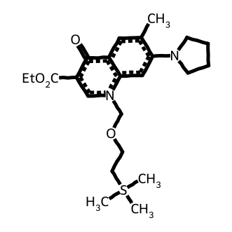 CCOC(=O)c1cn(COCCS(C)(C)C)c2cc(N3CCCC3)c(C)cc2c1=O